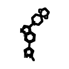 Cn1cc(-c2ccc3c(N4CCC5(CC4)OCCO5)cnn3c2)cn1